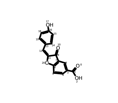 O=C(O)c1ccc2c(c1)C(=O)C(=Cc1ccc(O)cc1)O2